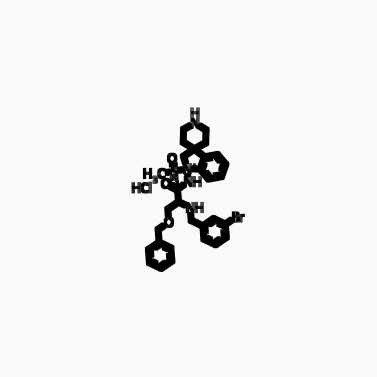 CS(=O)(=O)[N+]1(NC(=O)C(COCc2ccccc2)NCc2cccc(Br)c2)CC2(CCNCC2)c2ccccc21.Cl